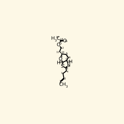 C/C=C/CCC1=N[C@@H]2[C][C][C@H](CCOC(C)=O)O[C@@H]2S1